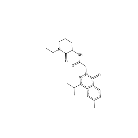 CCN1CCCC(NC(=O)Cn2nc(C(C)C)c3cc(C)ccc3c2=O)C1=O